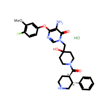 COc1cc(Oc2ncn(CC3(O)CCN(C(=O)[C@@H]4CCNC[C@H]4c4ccccc4)CC3)c(=O)c2N)ccc1F.Cl